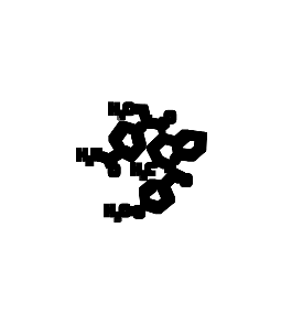 CCN(C(=O)[C@@H]1C[C@@H](C)N(C(=O)c2ccc(OC)cc2)c2ccccc21)c1ccc(C(N)=O)cc1